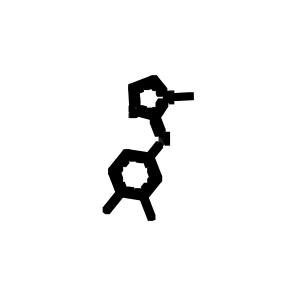 Cc1ccc(/N=c2\sccn2C)cc1C